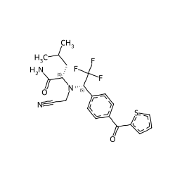 CC(C)C[C@@H](C(N)=O)N(CC#N)[C@@H](c1ccc(C(=O)c2cccs2)cc1)C(F)(F)F